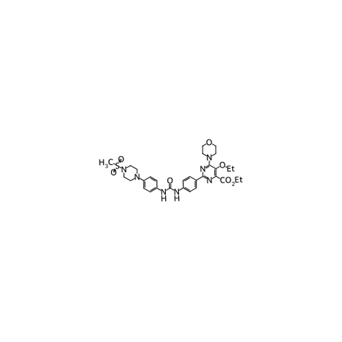 CCOC(=O)c1nc(-c2ccc(NC(=O)Nc3ccc(N4CCN(S(C)(=O)=O)CC4)cc3)cc2)nc(N2CCOCC2)c1OCC